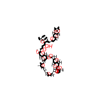 C=C1C2C[C@@H]3O[C@H]4C[C@@H](OC)[C@@H](CC(=O)C[C@H](O)[C@@H](O[Si](CC)(CC)CC)[C@@H](C)C[C@@H]5C[C@H](C)[C@@H]6O[C@@H]7CO[Si](C(C)(C)C)(C(C)(C)C)O[C@@H]7CC6O5)O[C@H]4[C@H](C)[C@H]3OC(=O)C[C@H]3CC[C@@H]4OC5C6O[C@@H]7C[C@](CC[C@H]8CC(=C)[C@H](CC[C@@H](C[C@H]1C)O2)O8)(O[C@H]6[C@H]4O3)O[C@@H]57